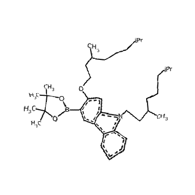 CC(C)CCCC(C)CCOc1cc2c(cc1B1OC(C)(C)C(C)(C)O1)c1ccccc1n2CCC(C)CCCC(C)C